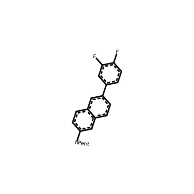 CCCCCc1ccc2cc(-c3ccc(F)c(F)c3)ccc2c1